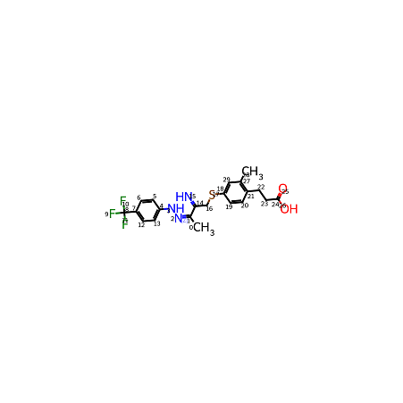 C/C(=N/Nc1ccc(C(F)(F)F)cc1)C(=N)CSc1ccc(CCC(=O)O)c(C)c1